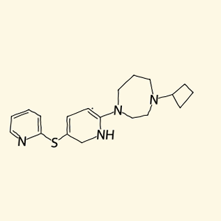 [C]1=C(N2CCCN(C3CCC3)CC2)NCC(Sc2ccccn2)=C1